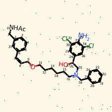 CC(=O)NCc1cccc(/C=C\COCCCCCCN(Cc2ccccc2)CC(O)c2cc(Cl)c(N)c(Cl)c2)c1